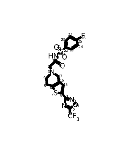 O=C(CN1CCc2sc(-c3noc(C(F)(F)F)n3)cc2C1)NS(=O)(=O)c1ccc(F)cc1